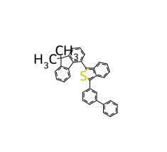 CC1(C)c2ccccc2-c2c(-c3sc(-c4cccc(-c5ccccc5)c4)c4ccccc34)cccc21